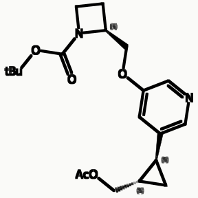 CC(=O)OC[C@H]1C[C@@H]1c1cncc(OC[C@@H]2CCN2C(=O)OC(C)(C)C)c1